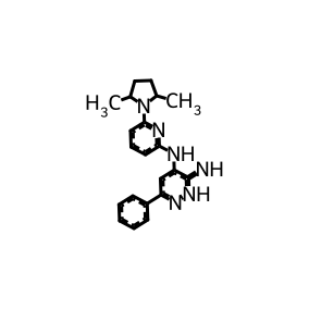 CC1CCC(C)N1c1cccc(Nc2cc(-c3ccccc3)n[nH]c2=N)n1